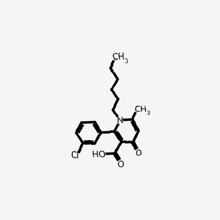 CCCCCCn1c(C)cc(=O)c(C(=O)O)c1-c1cccc(Cl)c1